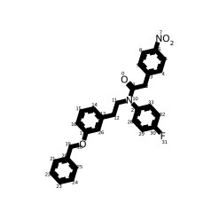 O=C(Cc1ccc([N+](=O)[O-])cc1)N(CCc1cccc(OCc2ccccc2)c1)c1ccc(F)cc1